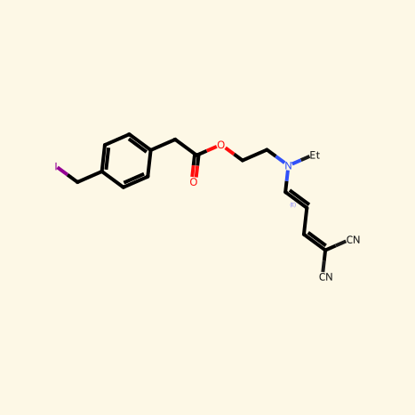 CCN(/C=C/C=C(C#N)C#N)CCOC(=O)Cc1ccc(CI)cc1